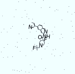 C/C=C(\C=N/C)c1ccc2cnc(NC(=O)C3(F)CCN(CC(C)(C)F)CC3)cc2c1